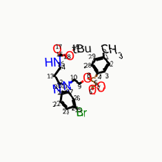 Cc1ccc(S(=O)(=O)OCCn2c(CCNC(=O)OC(C)(C)C)nc3ccc(Br)cc32)cc1